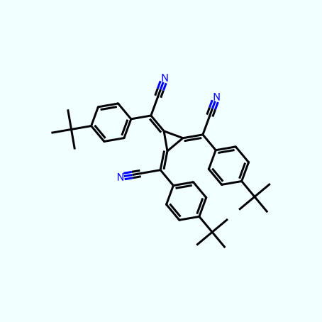 CC(C)(C)c1ccc(C(C#N)=C2C(=C(C#N)c3ccc(C(C)(C)C)cc3)C2=C(C#N)c2ccc(C(C)(C)C)cc2)cc1